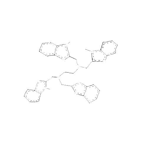 CCn1c(CN(CCN(Cc2nc3ccccc3n2CC)Cc2nc3ccccc3n2CC)Cc2nc3ccccc3[nH]2)nc2ccccc21